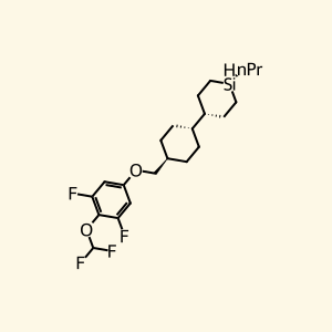 CCC[Si@H]1CC[C@H]([C@H]2CC[C@H](COc3cc(F)c(OC(F)F)c(F)c3)CC2)CC1